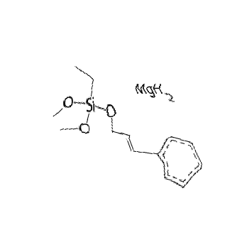 CC[Si](OC)(OC)OCC=Cc1ccccc1.[MgH2]